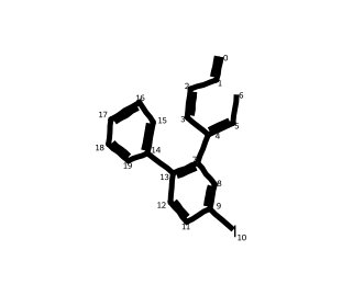 C=C/C=C\C(=C/C)c1cc(I)ccc1-c1ccccc1